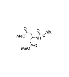 CCCCOC(=O)NC(CC(=O)OC)CC(=O)OC